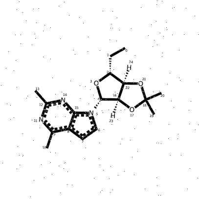 CC[C@H]1O[C@@H](n2ccc3c(C)nc(C)nc32)[C@@H]2OC(C)(C)O[C@@H]21